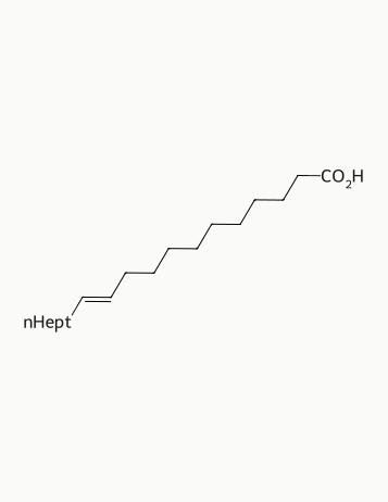 CCCCCCCC=CCCCCCCCCCC(=O)O